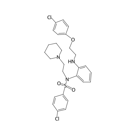 O=S(=O)(c1ccc(Cl)cc1)N(CCN1CCCCC1)c1ccccc1NCCOc1ccc(Cl)cc1